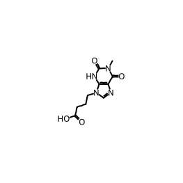 Cn1c(=O)[nH]c2c(ncn2CCCC(=O)O)c1=O